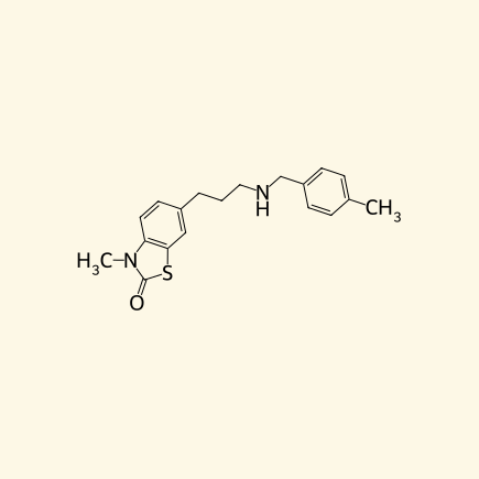 Cc1ccc(CNCCCc2ccc3c(c2)sc(=O)n3C)cc1